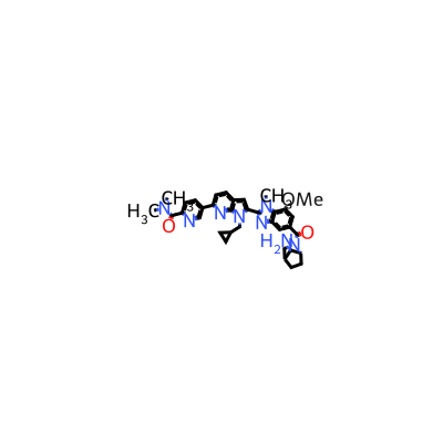 COc1cc(C(=O)N2CC3CCC2C3N)cc2nc(-c3cc4ccc(-c5ccc(C(=O)N(C)C)nc5)nc4n3CC3CC3)n(C)c12